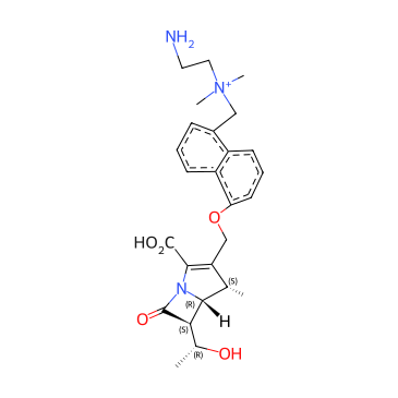 C[C@@H](O)[C@H]1C(=O)N2C(C(=O)O)=C(COc3cccc4c(C[N+](C)(C)CCN)cccc34)[C@H](C)[C@H]12